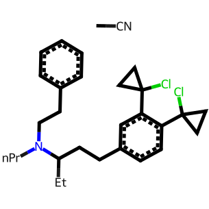 CC#N.CCCN(CCc1ccccc1)C(CC)CCc1ccc(C2(Cl)CC2)c(C2(Cl)CC2)c1